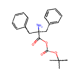 CC(C)(C)OC(=O)OC(=O)C(N)(Cc1ccccc1)Cc1ccccc1